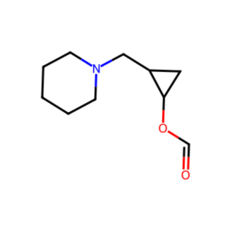 O=COC1CC1CN1CCCCC1